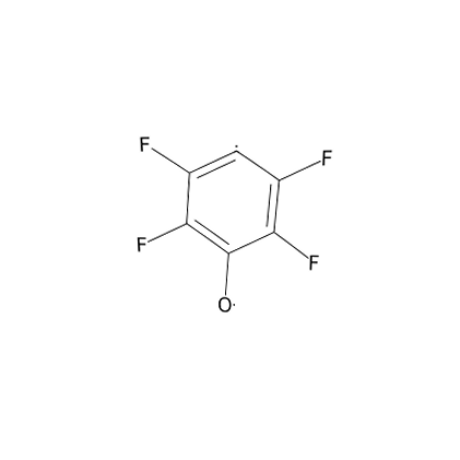 [O]c1c(F)c(F)[c]c(F)c1F